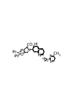 Cc1ccnc([C@H]2C[C@@H]2c2ccc3ccc(N4C[C@@H](O[Si](C(C)C)(C(C)C)C(C)C)C[C@@H]4C(=O)O)cc3n2)n1